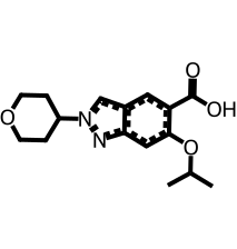 CC(C)Oc1cc2nn(C3CCOCC3)cc2cc1C(=O)O